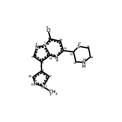 Cn1cc(-c2cnn3c(Cl)cc(C4CNCCS4)nc23)cn1